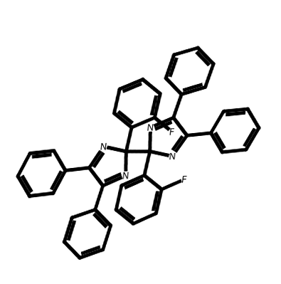 Fc1ccccc1C1(C2(c3ccccc3F)N=C(c3ccccc3)C(c3ccccc3)=N2)N=C(c2ccccc2)C(c2ccccc2)=N1